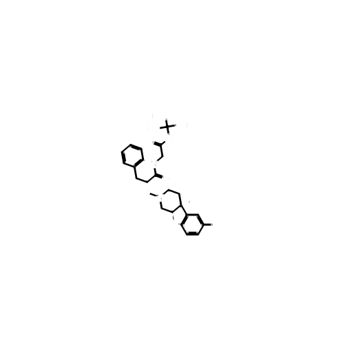 C[C@H]1CN(C[C@H](Cc2ccccc2)C(=O)NCC(=O)OC(C)(C)C)CC[C@@]1(C)c1cccc(O)c1